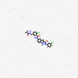 CC(C)C(=O)NCc1ccc(Cl)c(C(=O)Nc2ccc3c(c2)cc(C(=O)Nc2cccc(Cl)c2)n3C)c1